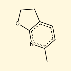 Cc1ccc2c(n1)OCC2